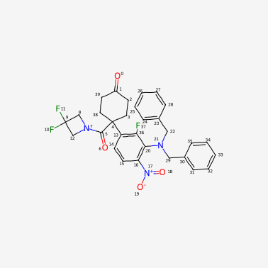 O=C1CCC(C(=O)N2CC(F)(F)C2)(c2ccc([N+](=O)[O-])c(N(Cc3ccccc3)Cc3ccccc3)c2F)CC1